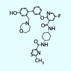 Cc1nc(C(=O)N[C@H]2CC[C@@H](NC(=O)c3cc(F)cnc3Oc3cccc(-c4ccc(O)cc4CN4CCCOCC4)c3)CC2)cs1